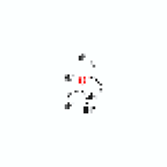 CC(C)CC(CC(C)C)OC(CC(C)C)CC(C)C.[Ba]